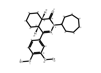 CCOc1ccc(C2=NN(C3CCCCCC3)C(=O)[C@H]3CCCC[C@@H]23)cc1OCC